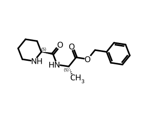 C[C@H](NC(=O)[C@@H]1CCCCN1)C(=O)OCc1ccccc1